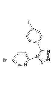 Fc1ccc(-c2nnnn2-c2ccc(Br)cn2)cc1